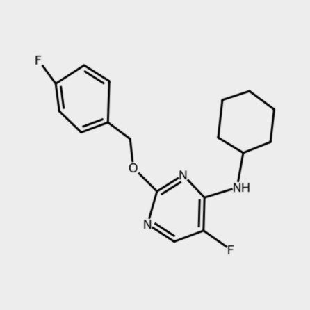 Fc1ccc(COc2ncc(F)c(NC3CCCCC3)n2)cc1